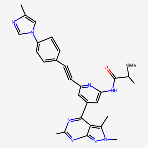 CNC(C)C(=O)Nc1cc(-c2nc(C)nc3nn(C)c(C)c23)cc(C#Cc2ccc(-n3cnc(C)c3)cc2)n1